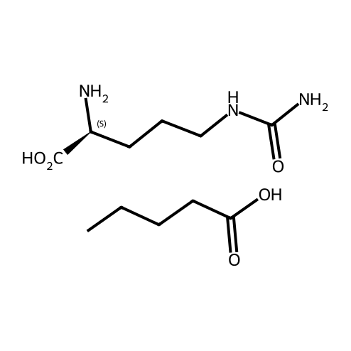 CCCCC(=O)O.NC(=O)NCCC[C@H](N)C(=O)O